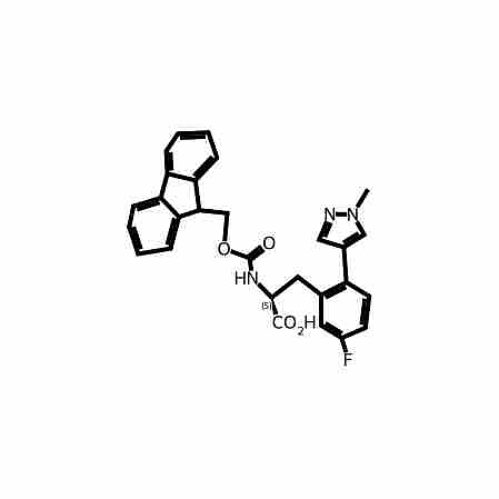 Cn1cc(-c2ccc(F)cc2C[C@H](NC(=O)OCC2c3ccccc3-c3ccccc32)C(=O)O)cn1